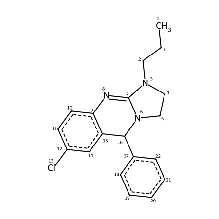 CCCN1CCN2C1=Nc1ccc(Cl)cc1C2c1ccccc1